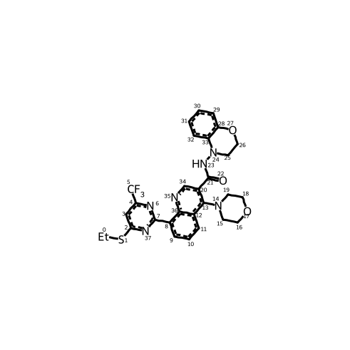 CCSc1cc(C(F)(F)F)nc(-c2cccc3c(N4CCOCC4)c(C(=O)NN4CCOc5ccccc54)cnc23)n1